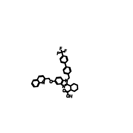 O=C(O)C1CCCCC1c1nc2cc(OCc3ccc4ccccc4n3)ccc2n1Cc1ccc(-c2ccc(C(F)(F)F)cc2)cc1